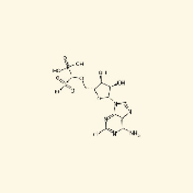 CCS(=O)(=O)C(OC[C@H]1O[C@@H](n2cnc3c(N)nc(Cl)nc32)[C@H](O)[C@@H]1O)P(=O)(O)O